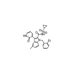 CCc1ccccc1Cn1c(C(=O)NS(=O)(=O)C2CC2)c(-c2ccc[nH]c2=O)c2cc(C)ccc21